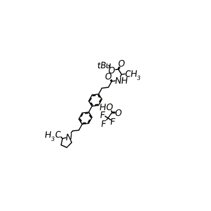 CC(NC(=O)CCc1ccc(-c2ccc(CCN3CCCC3C)cc2)cc1)C(=O)OC(C)(C)C.O=C(O)C(F)(F)F